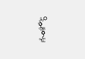 CCCCC(=O)NCCc1ccc(S(=O)(=O)NC(=O)c2ccc(OC(=O)OC3CCCCC3)nc2)cc1